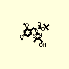 COc1ccc(CN(C(=O)OC(C)(C)C)c2nc(CO)c(C)s2)c(OC)c1